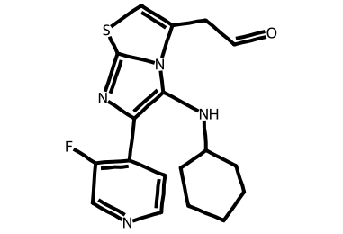 O=CCc1csc2nc(-c3ccncc3F)c(NC3CCCCC3)n12